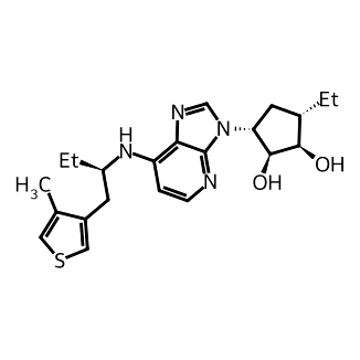 CC[C@H](Cc1cscc1C)Nc1ccnc2c1ncn2[C@@H]1C[C@H](CC)[C@@H](O)[C@H]1O